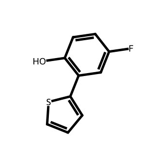 Oc1ccc(F)cc1-c1cccs1